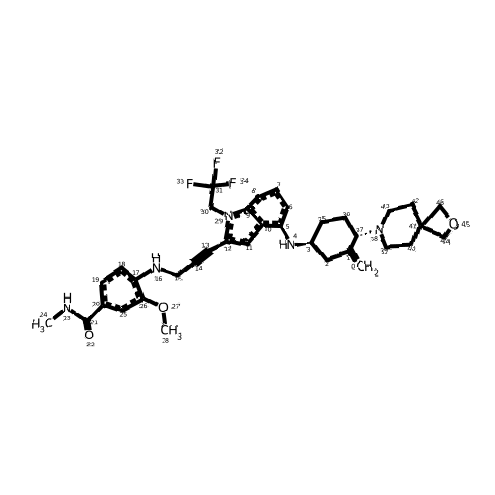 C=C1C[C@@H](Nc2cccc3c2cc(C#CCNc2ccc(C(=O)NC)cc2OC)n3CC(F)(F)F)CC[C@@H]1N1CCC2(CC1)COC2